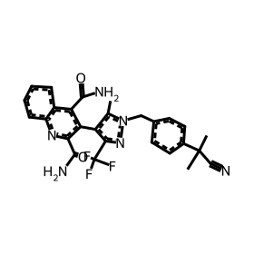 Cc1c(-c2c(C(N)=O)nc3ccccc3c2C(N)=O)c(C(F)(F)F)nn1Cc1ccc(C(C)(C)C#N)cc1